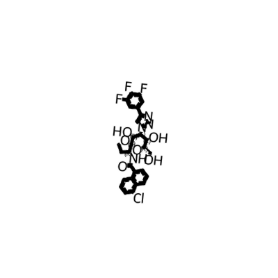 O=C(N[C@@H]1CCO[C@]12O[C@H](CO)[C@H](O)[C@H](n1cc(-c3cc(F)c(F)c(F)c3)nn1)[C@H]2O)c1cccc2c(Cl)cccc12